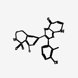 Cc1c(C#N)cccc1-c1nc2[nH]ccc(=O)c2nc1-c1cc(Cl)c2c(c1)CCNS2(=O)=O